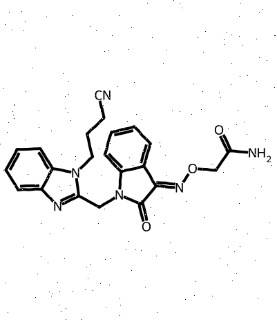 N#CCCCn1c(CN2C(=O)/C(=N/OCC(N)=O)c3ccccc32)nc2ccccc21